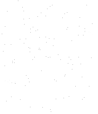 CC#CCCCCCCCCCCCCCCCCCCC